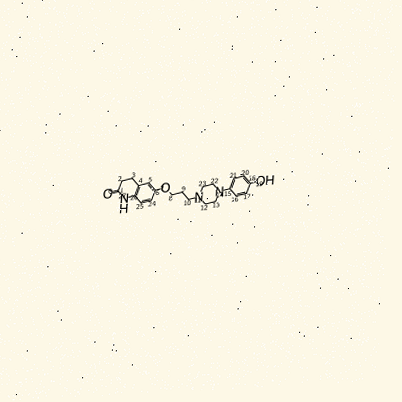 O=C1CCc2cc(OCCCN3CCN(c4ccc(O)cc4)CC3)ccc2N1